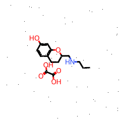 CCCNCC1CCc2ccc(O)cc2O1.O=C(O)C(=O)O